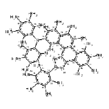 Bc1cc(B)c(N(c2c(B)c(B)c(B)c(B)c2B)c2c(B)c(B)c3c(B)c(B)c4c5c(B)c(B)c(B)c(B)c5c5oc(-c6c(B)c(B)c(B)c(B)c6B)nc5c4c3c2B)c(B)c1B